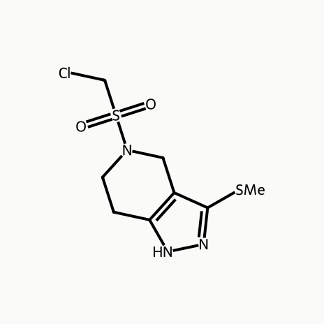 CSc1n[nH]c2c1CN(S(=O)(=O)CCl)CC2